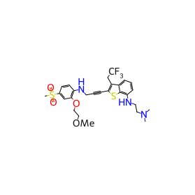 COCCOc1cc(S(C)(=O)=O)ccc1NCC#Cc1sc2c(NCCN(C)C)cccc2c1CC(F)(F)F